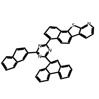 c1ccc2cc(-c3nc(-c4cc5ccccc5c5ccccc45)nc(-c4cccc5c4ccc4c6cccnc6sc54)n3)ccc2c1